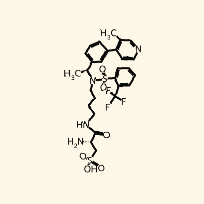 Cc1cnccc1-c1cccc([C@H](C)N(CCCCNC(=O)[C@@H](N)CS(=O)(=O)O)S(=O)(=O)c2ccccc2C(F)(F)F)c1